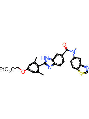 CCOC(=O)COc1cc(C)c(-c2nc3ccc(C(=O)N(C)c4ccc5scnc5c4)cc3[nH]2)c(C)c1